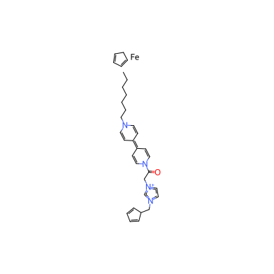 C1=CCC=C1.CCCCCCCN1C=CC(=C2C=CN(C(=O)C[n+]3ccn(CC4C=CC=C4)c3)C=C2)C=C1.[Fe]